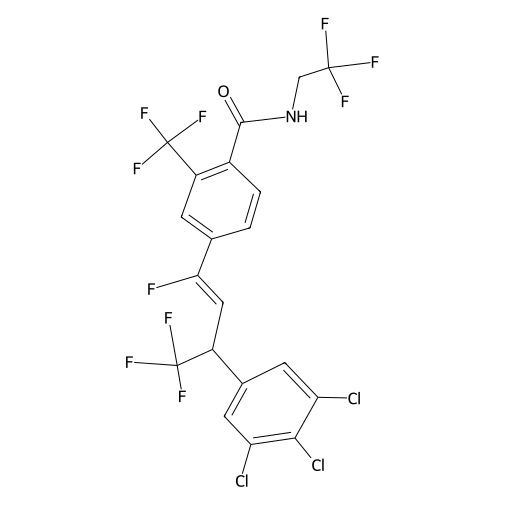 O=C(NCC(F)(F)F)c1ccc(/C(F)=C/C(c2cc(Cl)c(Cl)c(Cl)c2)C(F)(F)F)cc1C(F)(F)F